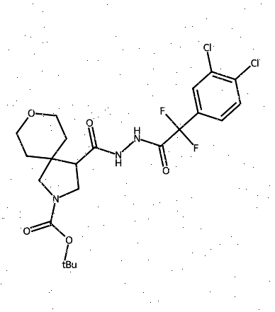 CC(C)(C)OC(=O)N1CC(C(=O)NNC(=O)C(F)(F)c2ccc(Cl)c(Cl)c2)C2(CCOCC2)C1